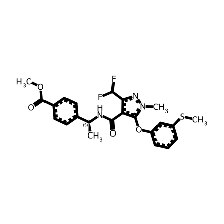 COC(=O)c1ccc([C@H](C)NC(=O)c2c(C(F)F)nn(C)c2Oc2cccc(SC)c2)cc1